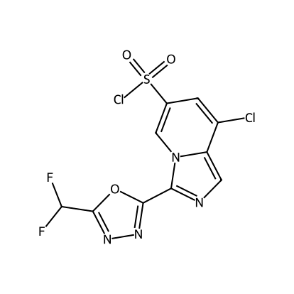 O=S(=O)(Cl)c1cc(Cl)c2cnc(-c3nnc(C(F)F)o3)n2c1